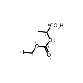 C[C@H](OC(=O)OCI)C(=O)O